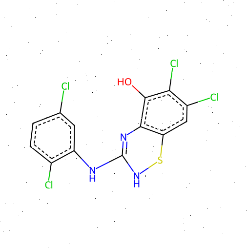 Oc1c(Cl)c(Cl)cc2c1N=C(Nc1cc(Cl)ccc1Cl)NS2